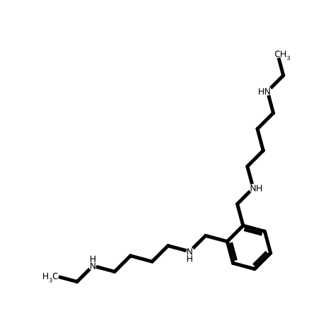 CCNCCCCNCc1ccccc1CNCCCCNCC